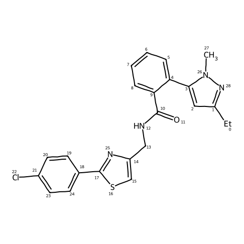 CCc1cc(-c2ccccc2C(=O)NCc2csc(-c3ccc(Cl)cc3)n2)n(C)n1